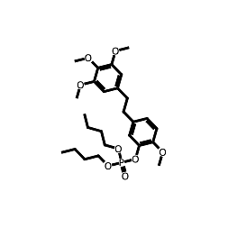 CCCCOP(=O)(OCCCC)Oc1cc(CCc2cc(OC)c(OC)c(OC)c2)ccc1OC